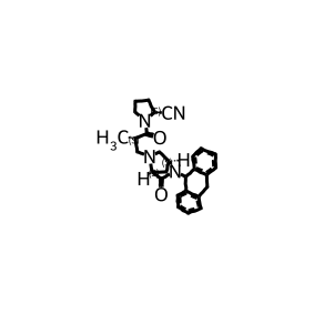 C[C@@H](CN1C[C@@H]2C[C@H]1C(=O)N2C1c2ccccc2Cc2ccccc21)C(=O)N1CCC[C@H]1C#N